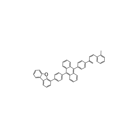 C=C(/C=C\c1ccccc1C)c1ccc(-c2c3ccccc3c(-c3ccc(-c4cccc5c4oc4ccccc45)cc3)c3ccccc23)cc1